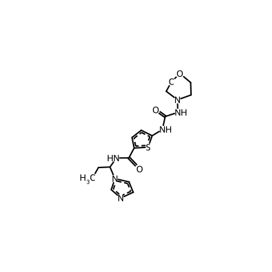 CCC(NC(=O)c1ccc(NC(=O)NN2CCOCC2)s1)n1ccnc1